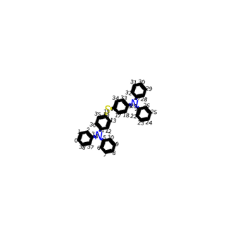 c1ccc(N(c2ccccc2)c2ccc(Sc3ccc(N(c4ccccc4)c4ccccc4)cc3)cc2)cc1